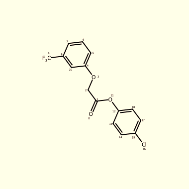 O=C(COc1cccc(C(F)(F)F)c1)Oc1ccc(Cl)cc1